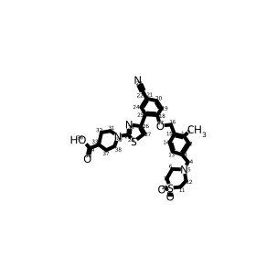 Cc1cc(CN2CCS(=O)(=O)CC2)ccc1COc1ccc(C#N)cc1-c1csc(N2CCC(C(=O)O)CC2)n1